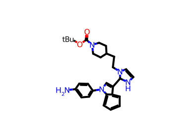 CC(C)(C)OC(=O)N1CCC(CCN2C=CNC2c2cn(-c3ccc(N)cc3)c3ccccc23)CC1